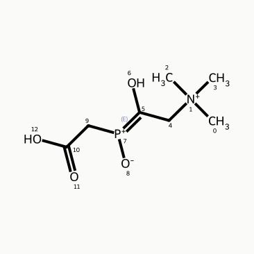 C[N+](C)(C)C/C(O)=[P+](\[O-])CC(=O)O